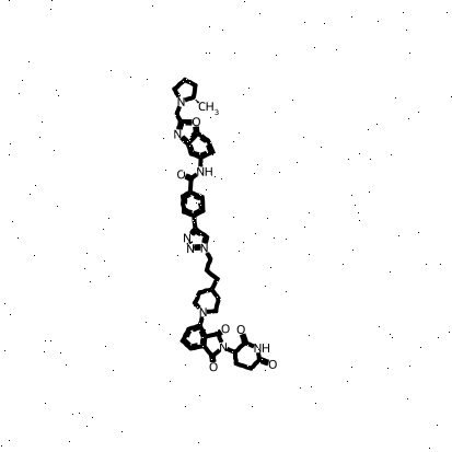 C[C@H]1CCCN1Cc1nc2cc(NC(=O)c3ccc(-c4cn(CCCC5CCN(c6cccc7c6C(=O)N(C6CCC(=O)NC6=O)C7=O)CC5)nn4)cc3)ccc2o1